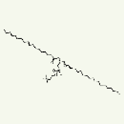 CC/C=C/C/C=C/C/C=C/CCCCCCCC(=O)O[C@H](CO/C=C/CCCCCCCCCCCCCCCC)COP(=O)([O-])OCC[N+](C)(C)C